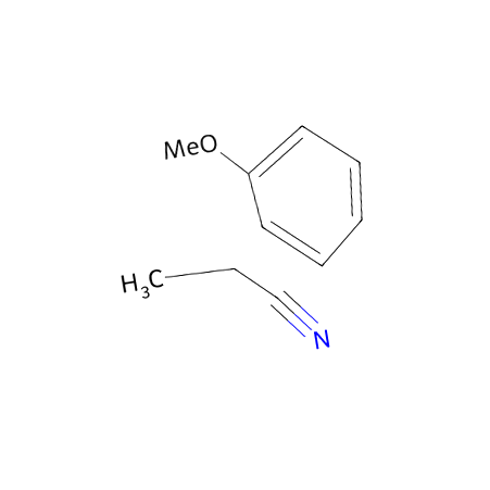 CCC#N.COc1ccccc1